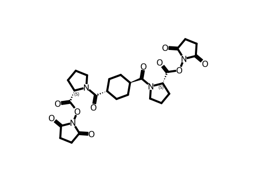 O=C(ON1C(=O)CCC1=O)[C@@H]1CCCN1C(=O)[C@H]1CC[C@H](C(=O)N2CCC[C@H]2C(=O)ON2C(=O)CCC2=O)CC1